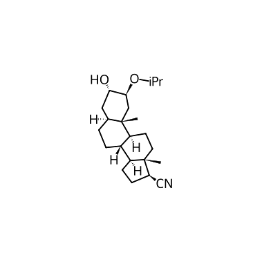 CC(C)O[C@H]1C[C@@]2(C)[C@@H](CC[C@@H]3[C@@H]2CC[C@]2(C)[C@@H](C#N)CC[C@@H]32)C[C@@H]1O